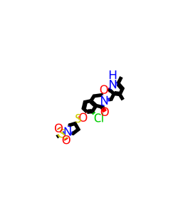 Cc1cc(C)c(CN2CCc3ccc(OS[C@H]4CCN(S(C)(=O)=O)C4)c(Cl)c3C2=O)c(=O)[nH]1